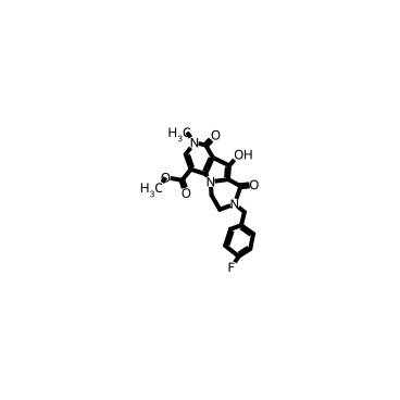 COC(=O)c1cn(C)c(=O)c2c(O)c3n(c12)CCN(Cc1ccc(F)cc1)C3=O